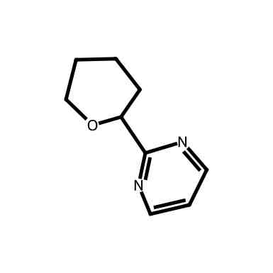 c1cnc(C2CCCCO2)nc1